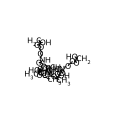 C=C(O)C(=O)OCCOCCNC(=O)C(CC)CC(O)CC(C)OCC(COCC(C)C(O)OC(C)C(=O)NCCOCCOC(=O)C(=C)O)OC(CC)CC(O)OC(C)P(=O)(O)O